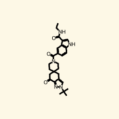 CCNC(=O)c1c[nH]c2ccc(C(=O)N3CCC4(CC3)CC(=O)c3nn(C(C)(C)C)cc3C4)cc12